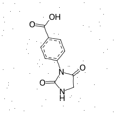 O=C(O)c1ccc(N2C(=O)CNC2=O)cc1